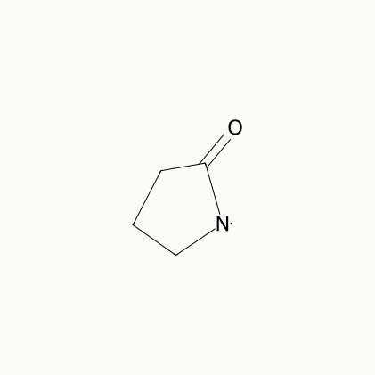 O=C1CCC[N]1